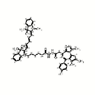 Cc1sc2c(c1C)C(c1ccc(Cl)cc1)=N[C@@H](CC(=O)NNC(=O)CCCCC[N+]1=C(/C=C/C=C/C=C3/N(C)c4ccccc4C3(C)C)C(C)(C)c3ccccc31)c1nnc(C)n1-2